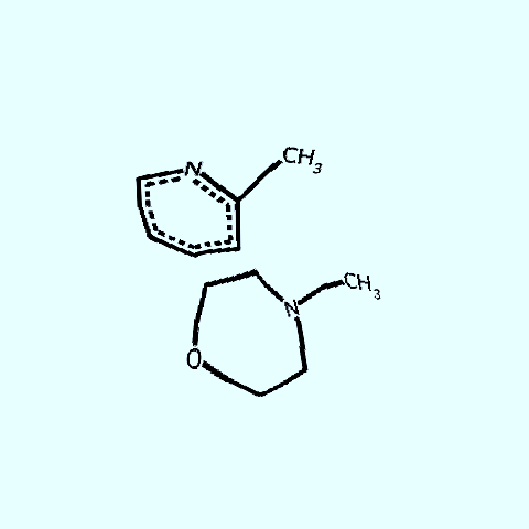 CN1CCOCC1.Cc1ccccn1